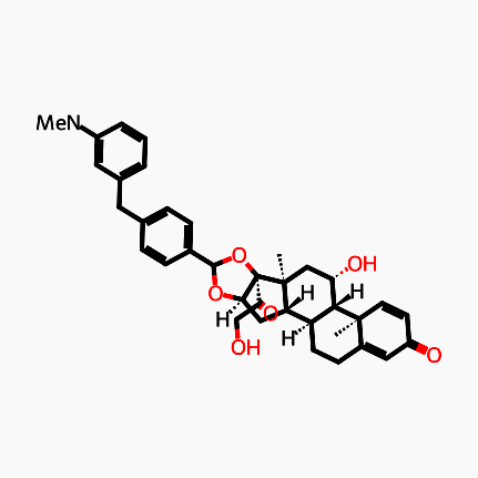 CNc1cccc(Cc2ccc(C3O[C@@H]4C[C@H]5[C@@H]6CCC7=CC(=O)C=C[C@]7(C)[C@H]6[C@@H](O)C[C@]5(C)[C@]4(C(=O)CO)O3)cc2)c1